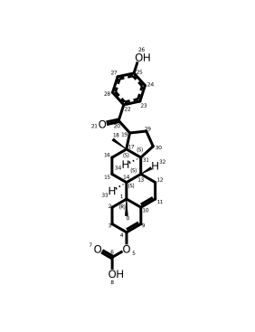 C[C@]12CCC(OC(=O)O)=CC1=CC[C@@H]1[C@@H]2CC[C@]2(C)C(C(=O)c3ccc(O)cc3)CC[C@@H]12